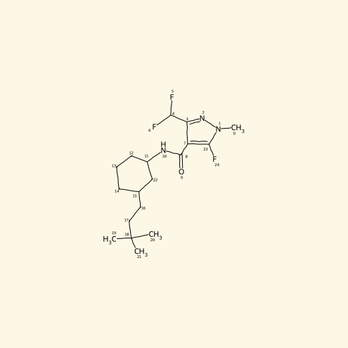 Cn1nc(C(F)F)c(C(=O)NC2CCCC(CCC(C)(C)C)C2)c1F